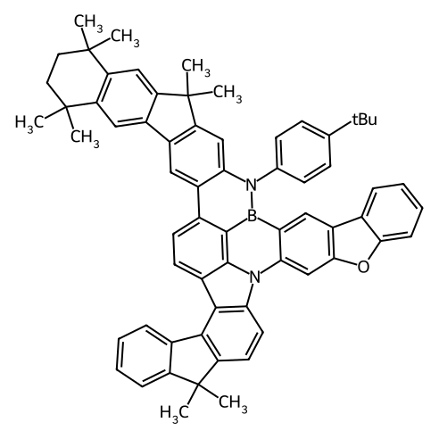 CC(C)(C)c1ccc(N2B3c4cc5c(cc4-n4c6ccc7c(c6c6ccc(c3c64)-c3cc4c(cc32)C(C)(C)c2cc3c(cc2-4)C(C)(C)CCC3(C)C)-c2ccccc2C7(C)C)oc2ccccc25)cc1